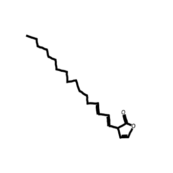 CCCCCCCCCCCCCC=CC=CC1C=COC1=O